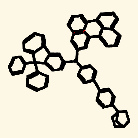 c1ccc(-c2cccc3cccc(-c4cccc(N(c5ccc(-c6ccc(C78CCC(CC7)C8)cc6)cc5)c5ccc6c(c5)-c5ccccc5C6(c5ccccc5)c5ccccc5)c4)c23)cc1